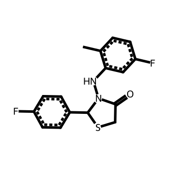 Cc1ccc(F)cc1NN1C(=O)CSC1c1ccc(F)cc1